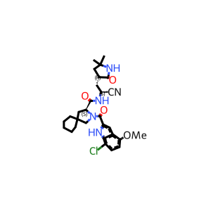 COc1ccc(Cl)c2[nH]c(C(=O)N3CC4(CCCCC4)C[C@H]3C(=O)N[C@H](C#N)C[C@@H]3CC(C)(C)NC3=O)cc12